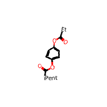 CCCC(C)C(=O)Oc1ccc(OC(=O)CC)cc1